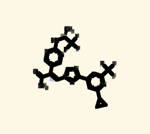 C[C@@H](Nc1ncc(/C(=C\n2cnc(-c3cc(C4CC4)nc(C(F)(F)F)c3)n2)C(N)=O)cn1)C(F)(F)F